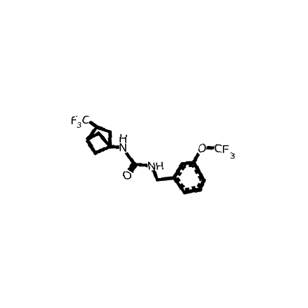 O=C(NCc1cccc(OC(F)(F)F)c1)NC12CC(C1)C(C(F)(F)F)C2